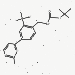 CC(C)(C)OC(=O)NCc1ccc(-c2ccnc(Cl)n2)cc1C(F)(F)F